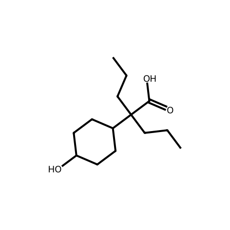 CCCC(CCC)(C(=O)O)C1CCC(O)CC1